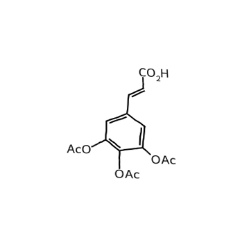 CC(=O)Oc1cc(/C=C/C(=O)O)cc(OC(C)=O)c1OC(C)=O